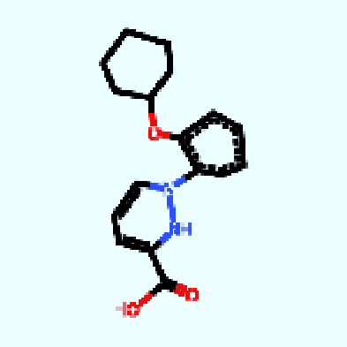 O=C(O)C1=CC=CN(c2ccccc2OC2CCCCC2)N1